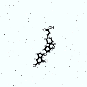 O=C(O)CCN1CCC2(CC1)COc1cc(OC3CCc4cc(Cl)cc(Cl)c43)ccc12